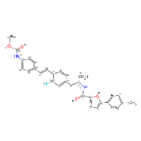 Cc1ccc(-c2ccc(C(=O)N[C@H](Cc3ccc(/C=C/c4ccc(NC(=O)OC(C)(C)C)cc4)c(F)c3)C(=O)O)o2)cc1